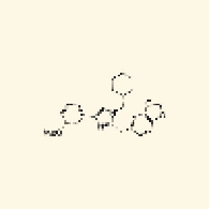 COc1cccc(-c2cn(CC3CCCCC3)c(Cc3ccc4c(c3)OCO4)n2)c1